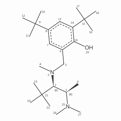 C[C@H]([C@H](N(C)Cc1cc(C(C)(C)C)cc(C(C)(C)C)c1O)C(C)(C)C)N(C)C